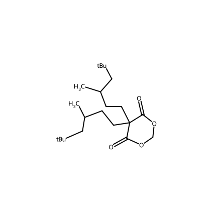 CC(CCC1(CCC(C)CC(C)(C)C)C(=O)OCOC1=O)CC(C)(C)C